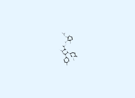 Cn1cc(-c2nc(C(=O)NCc3c(F)cccc3OC(F)F)c(N)nc2-c2ccc(F)cc2)ccc1=O